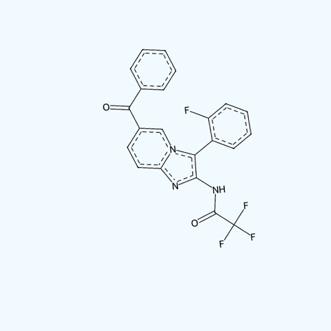 O=C(c1ccccc1)c1ccc2nc(NC(=O)C(F)(F)F)c(-c3ccccc3F)n2c1